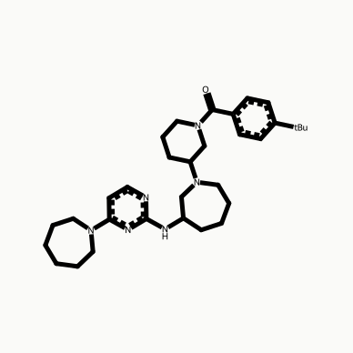 CC(C)(C)c1ccc(C(=O)N2CCCC(N3CCCCC(Nc4nccc(N5CCCCCC5)n4)C3)C2)cc1